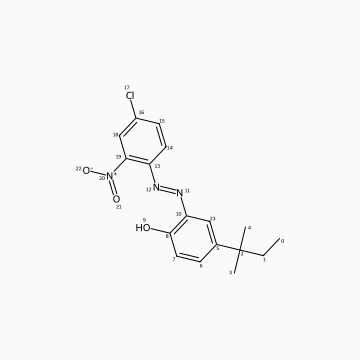 CCC(C)(C)c1ccc(O)c(/N=N/c2ccc(Cl)cc2[N+](=O)[O-])c1